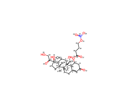 C[C@]12C[C@H](O)[C@H]3[C@@H](CCC4=CC(=O)CC(OC(=O)CCCO[N+](=O)[O-])[C@@]43C)[C@@H]1CC[C@]2(O)C(=O)CO